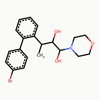 CC(c1ccccc1-c1ccc(Br)cc1)C(O)C(O)N1CCOCC1